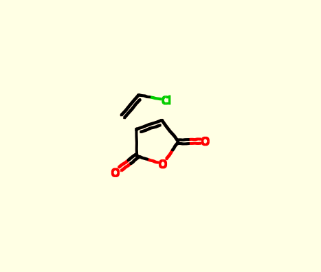 C=CCl.O=C1C=CC(=O)O1